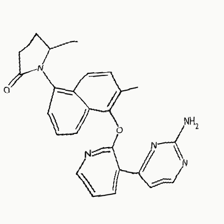 Cc1ccc2c(N3C(=O)CCC3C)cccc2c1Oc1ncccc1-c1ccnc(N)n1